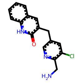 NCc1ncc(Cc2cc3ccccc3[nH]c2=O)cc1Cl